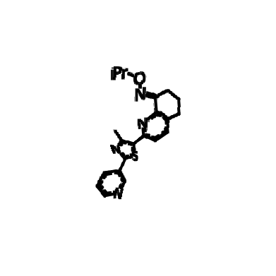 Cc1nc(-c2cccnc2)sc1-c1ccc2c(n1)/C(=N/OC(C)C)CCC2